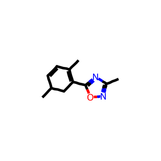 CC1=C(c2nc(C)no2)CC(C)C=C1